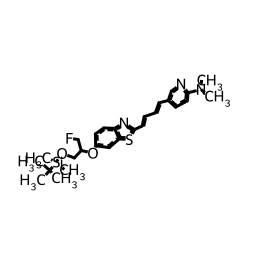 CN(C)c1ccc(/C=C/C=C/c2nc3ccc(OC(CF)CO[Si](C)(C)C(C)(C)C)cc3s2)cn1